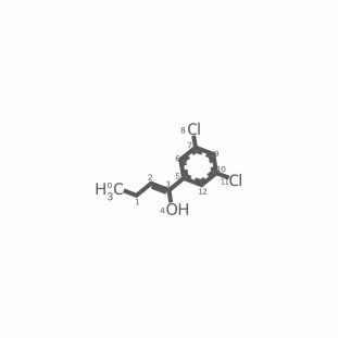 CCC=C(O)c1cc(Cl)cc(Cl)c1